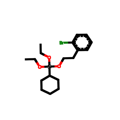 CCO[Si](OCC)(OCCc1ccccc1Br)C1CCCCC1